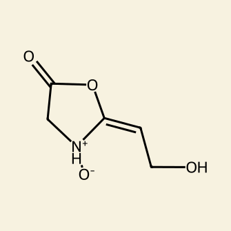 O=C1C[NH+]([O-])C(=CCO)O1